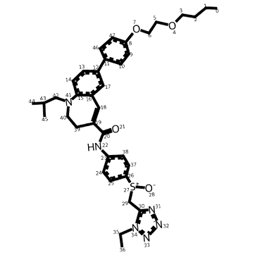 CCCCOCCOc1ccc(-c2ccc3c(c2)C=C(C(=O)Nc2ccc([S+]([O-])Cc4nnnn4CC)cc2)CCN3CC(C)C)cc1